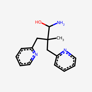 CC(Cc1ccccn1)(Cc1ccccn1)C(N)O